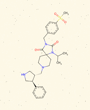 CC(C)N1C(=O)N(Cc2ccc(S(C)(=O)=O)cc2)C(=O)C12CCN(C[C@H]1CNC[C@@H]1c1ccccc1)CC2